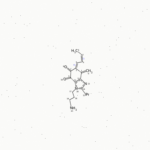 C=C1/C(=C\C=C/C)C(=O)C(=O)c2c1nc(C(C)C)n2CCCN